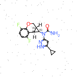 NC(=O)N(c1cc(C2CC2)[nH]n1)[C@@H]1[C@H]2COc3c(F)ccc(F)c3[C@@H]21